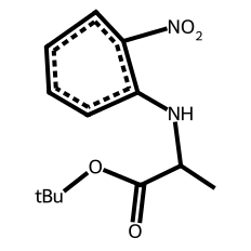 CC(Nc1ccccc1[N+](=O)[O-])C(=O)OC(C)(C)C